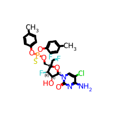 Cc1ccc(OP(=S)(OC[C@@]2(C(F)F)O[C@@H](n3cc(Cl)c(N)nc3=O)[C@H](O)[C@H]2F)Oc2ccc(C)cc2)cc1